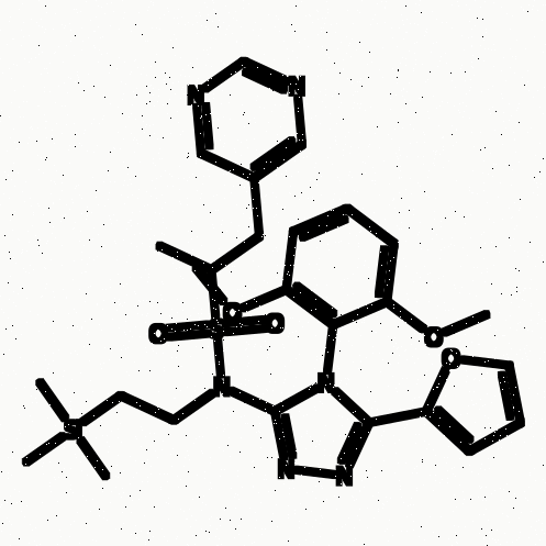 COc1cccc(OC)c1-n1c(-c2ccco2)nnc1N(CC[Si](C)(C)C)S(=O)(=O)C(C)Cc1cncnc1